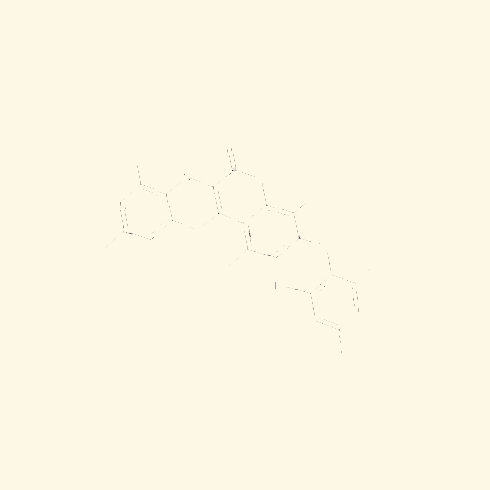 Cc1cc(O)c(Oc2cc(C)c3c4c(c(=O)oc3c2O)Nc2c(O)cc(C)cc2S4)c(O)c1